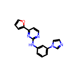 c1cc(Nc2nccc(-c3ccco3)n2)cc(-n2ccnc2)c1